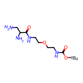 CC(C)(C)OC(=O)NCCOCCNC(=O)C(N)CN